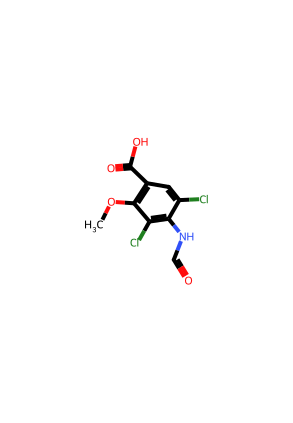 COc1c(C(=O)O)cc(Cl)c(NC=O)c1Cl